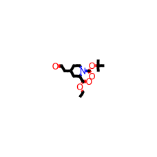 CCOC(=O)C1CC(CC=O)CCN1C(=O)OC(C)(C)C